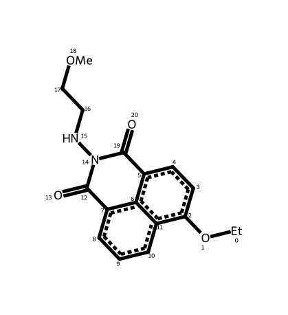 CCOc1ccc2c3c(cccc13)C(=O)N(NCCOC)C2=O